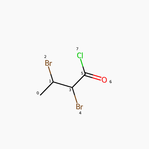 CC(Br)C(Br)C(=O)Cl